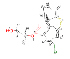 CC(C)(O)C(C)(C)OBc1cc(Cl)cc2sc3ccccc3c12